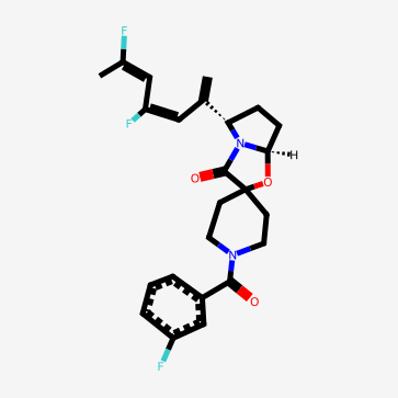 C=C(/C=C(F)\C=C(/C)F)[C@@H]1CC[C@H]2OC3(CCN(C(=O)c4cccc(F)c4)CC3)C(=O)N21